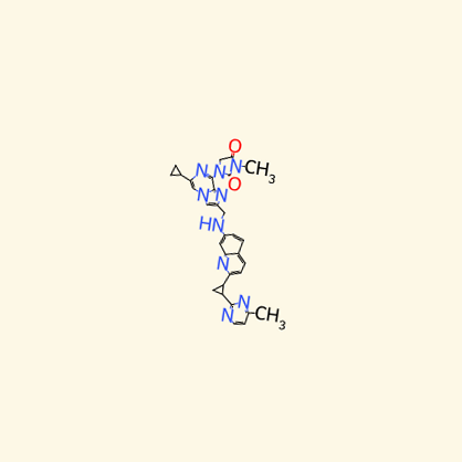 Cc1ccnc(C2CC2c2ccc3ccc(NCc4cn5cc(C6CC6)nc(N6CC(=O)N(C)C6=O)c5n4)cc3n2)n1